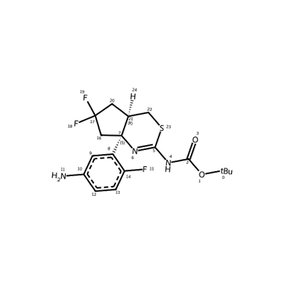 CC(C)(C)OC(=O)NC1=N[C@@]2(c3cc(N)ccc3F)CC(F)(F)C[C@H]2CS1